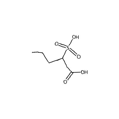 CCC[C](C(=O)O)S(=O)(=O)O